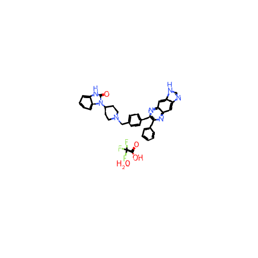 O.O=C(O)C(F)(F)F.O=c1[nH]c2ccccc2n1C1CCN(Cc2ccc(-c3nc4cc5[nH]cnc5cc4nc3-c3ccccc3)cc2)CC1